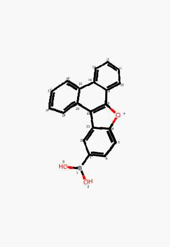 OB(O)c1ccc2oc3c4ccccc4c4ccccc4c3c2c1